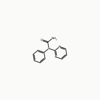 NC(=O)N(c1ccccc1)c1ncccn1